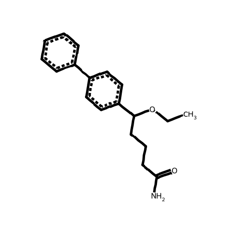 CCOC(CCCC(N)=O)c1ccc(-c2ccccc2)cc1